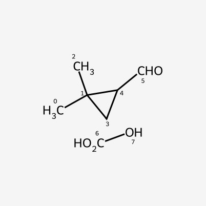 CC1(C)CC1C=O.O=C(O)O